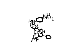 N[C@H]1CC[C@H](Nc2ncc(Cl)c(-c3cnc4c(-c5ccccc5)cc(C(F)(F)F)cn34)n2)CC1